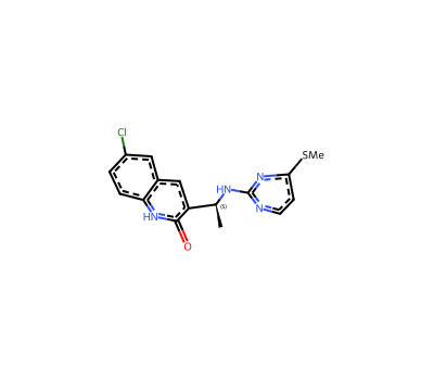 CSc1ccnc(N[C@@H](C)c2cc3cc(Cl)ccc3[nH]c2=O)n1